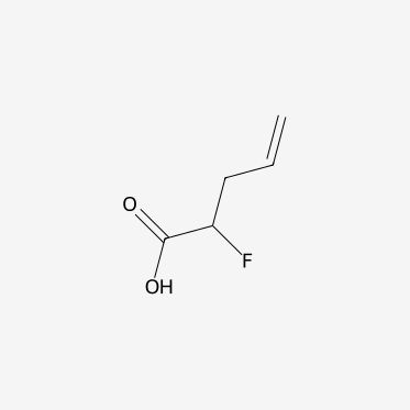 C=CCC(F)C(=O)O